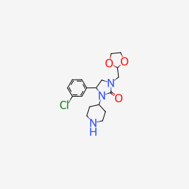 O=C1N(CC2OCCO2)CC(c2cccc(Cl)c2)N1C1CCNCC1